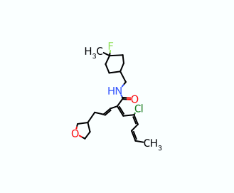 C\C=C/C=C(Cl)\C=C(\C=C\CC1CCOC1)C(=O)NCC1CCC(C)(F)CC1